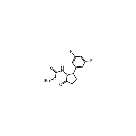 CC(C)(C)OC(=O)NN1C(=O)CCC1c1cc(F)cc(F)c1